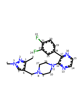 Cc1nn(C)cc1CN1CCN(c2nccnc2-c2ccc(F)c(F)c2)CC1